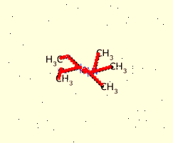 CCCCC/C=C\C/C=C\CCCCCCCCN(CCCCCCCC/C=C\CCCCC)CCN1CCN(CCN(CCCCCCCCCCCC)CCN(CCCCCCCCCCCC)CCCCCCCCCCCC)CC1